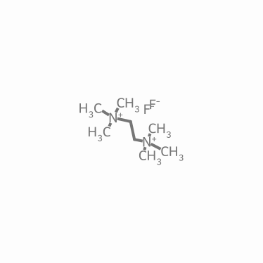 C[N+](C)(C)CC[N+](C)(C)C.[F-].[F-]